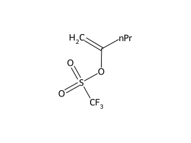 C=C(CCC)OS(=O)(=O)C(F)(F)F